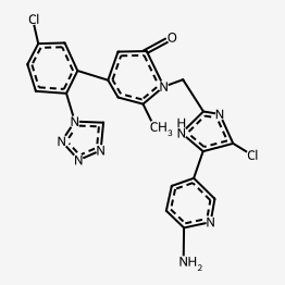 Cc1cc(-c2cc(Cl)ccc2-n2cnnn2)cc(=O)n1Cc1nc(Cl)c(-c2ccc(N)nc2)[nH]1